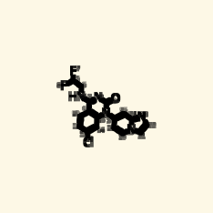 O=c1nc(NCC(F)F)c2ccc(Cl)cc2n1-c1ccn2ccnc2c1